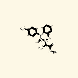 CC(C)OC(=O)C(C)N(Oc1ccccc1)[P@@H](=O)Oc1ccc([N+](=O)[O-])cc1